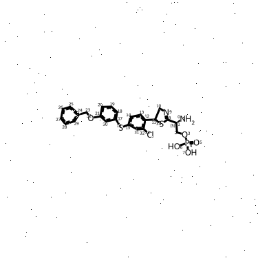 N[C@@H](COP(=O)(O)O)C1=NCC(c2ccc(Sc3cccc(OCc4ccccc4)c3)cc2Cl)S1